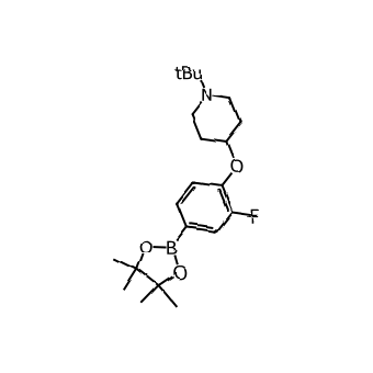 CC(C)(C)N1CCC(Oc2ccc(B3OC(C)(C)C(C)(C)O3)cc2F)CC1